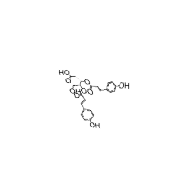 O=C(O)C[C@H](OC(=O)/C=C/c1ccc(O)cc1)[C@H](CO)OC(=O)/C=C/c1ccc(O)cc1